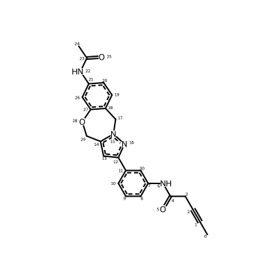 CC#CCC(=O)Nc1cccc(-c2cc3n(n2)Cc2ccc(NC(C)=O)cc2OC3)c1